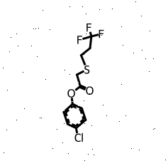 O=C(CSCCC(F)(F)F)Oc1ccc(Cl)cc1